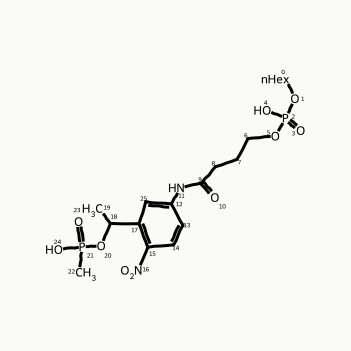 CCCCCCOP(=O)(O)OCCCC(=O)Nc1ccc([N+](=O)[O-])c(C(C)OP(C)(=O)O)c1